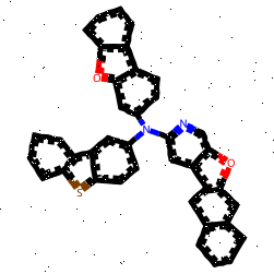 c1ccc2cc3c(cc2c1)oc1cnc(N(c2ccc4c(c2)oc2ccccc24)c2ccc4sc5ccccc5c4c2)cc13